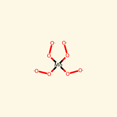 [O][O][Mo]([O][O])([O][O])[O][O]